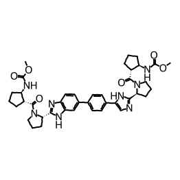 COC(=O)N[C@@H]1CCC[C@H]1C(=O)N1CCC[C@H]1c1ncc(-c2ccc(-c3ccc4nc([C@@H]5CCCN5C(=O)[C@@H]5CCC[C@H]5NC(=O)OC)[nH]c4c3)cc2)[nH]1